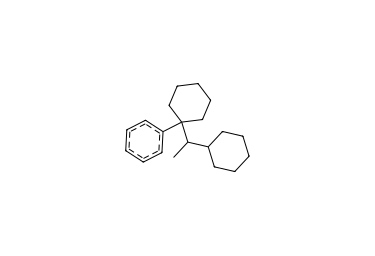 CC(C1CCCCC1)C1(c2ccccc2)CCCCC1